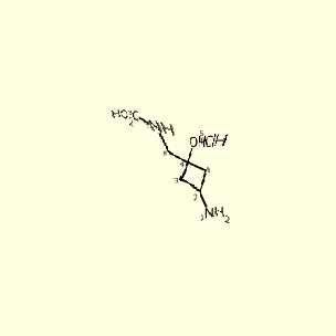 Cl.NC1CC(O)(CNC(=O)O)C1